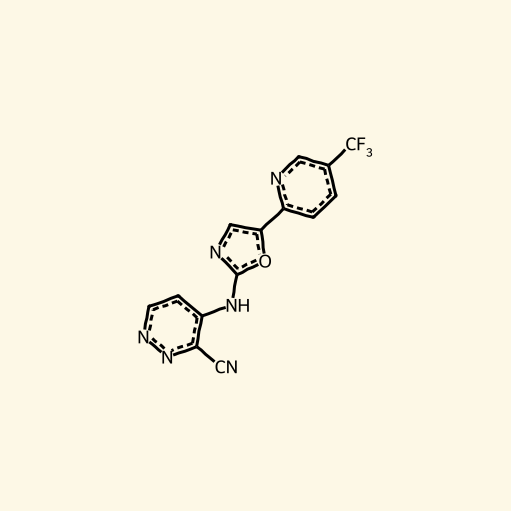 N#Cc1nnccc1Nc1ncc(-c2ccc(C(F)(F)F)cn2)o1